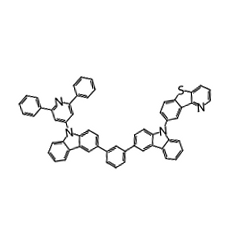 c1ccc(-c2cc(-n3c4ccccc4c4cc(-c5cccc(-c6ccc7c(c6)c6ccccc6n7-c6ccc7sc8cccnc8c7c6)c5)ccc43)cc(-c3ccccc3)n2)cc1